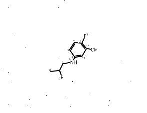 CC(F)CNc1ccc(F)c(Cl)c1